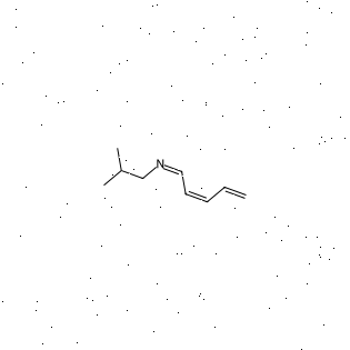 C=C/C=C\C=N/CC(C)C